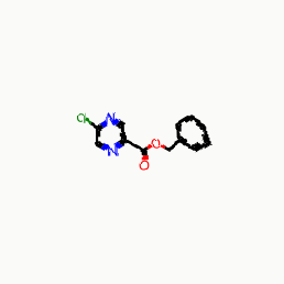 O=C(OCc1ccccc1)c1cnc(Cl)cn1